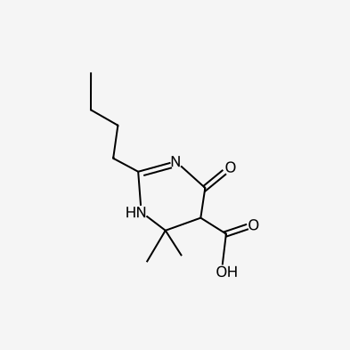 CCCCC1=NC(=O)C(C(=O)O)C(C)(C)N1